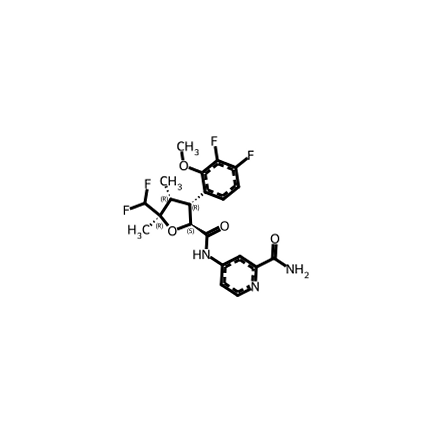 COc1c([C@@H]2[C@@H](C(=O)Nc3ccnc(C(N)=O)c3)O[C@@](C)(C(F)F)[C@@H]2C)ccc(F)c1F